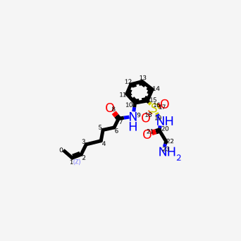 C/C=C\CCCCC(=O)Nc1ccccc1S(=O)(=O)NC(=O)CN